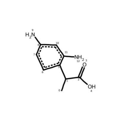 CC(C(=O)O)c1ccc(N)cc1N